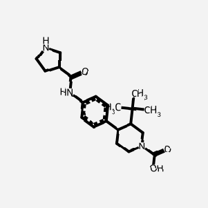 CC(C)(C)C1CN(C(=O)O)CCC1c1ccc(NC(=O)C2CCNC2)cc1